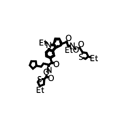 CC/C(=N\OC(=O)C1CC(CC)CS1)C(=O)c1ccc2c(c1)c1cc(C(=O)/C(CCC3CCCC3)=N/OC(=O)C3CC(CC)CS3)ccc1n2CC